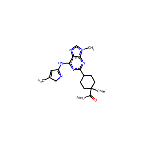 COC(=O)C1(OC)CCC(c2nc(NC3=NCC(C)=C3)c3ncn(C)c3n2)CC1